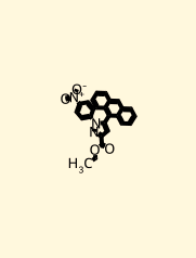 CCOC(=O)c1cc(-c2c3ccccc3cc3ccccc23)n(-c2ccc([N+](=O)[O-])cc2)n1